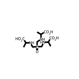 CC(NCP(=O)(CNC(C)C(=O)O)CNC(C)C(=O)O)C(=O)O